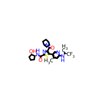 Cc1cc(N[C@@H](C)C(F)(F)F)ncc1-c1sc(C(=O)N[C@H]2CCC[C@@H]2O)nc1C(=O)N1C2CCC1CC2